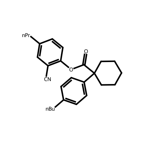 CCCCc1ccc(C2(C(=O)Oc3ccc(CCC)cc3C#N)CCCCC2)cc1